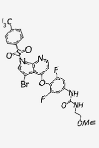 COCCNC(=O)Nc1cc(F)c(Oc2ccnc3c2c(Br)cn3S(=O)(=O)c2ccc(C)cc2)c(F)c1